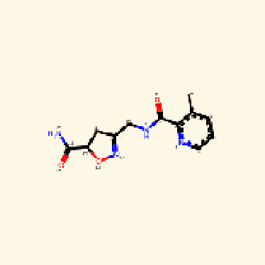 Cc1cccnc1C(=O)NCC1=NOC(C(N)=O)C1